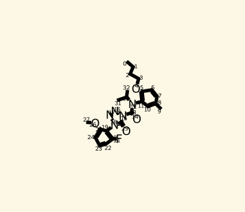 CCCCOc1ccc(C)cc1N(C(=O)n1nnn(-c2c(F)cccc2OC)c1=O)C(C)C